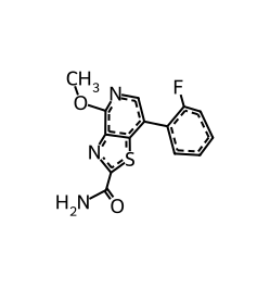 COc1ncc(-c2ccccc2F)c2sc(C(N)=O)nc12